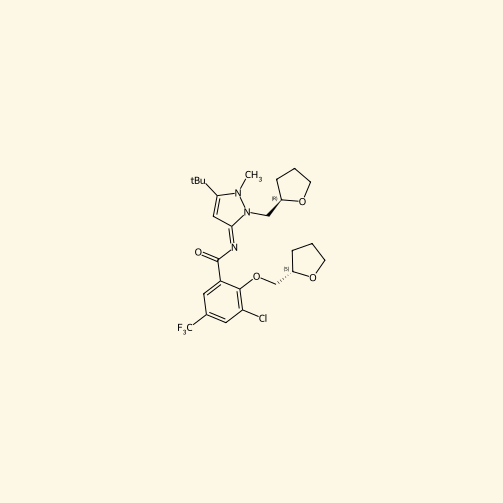 Cn1c(C(C)(C)C)cc(=NC(=O)c2cc(C(F)(F)F)cc(Cl)c2OC[C@@H]2CCCO2)n1C[C@H]1CCCO1